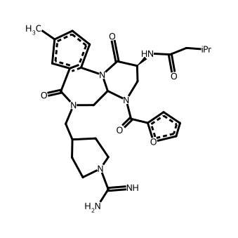 Cc1ccc2c(c1)C(=O)N(CC1CCN(C(=N)N)CC1)CC1N(C(=O)c3ccco3)C[C@H](NC(=O)CC(C)C)C(=O)N21